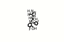 C[C@H](Nc1ncnc(N)c1C#N)c1nc2ccc(F)c(CO)c2n1-c1ccccc1